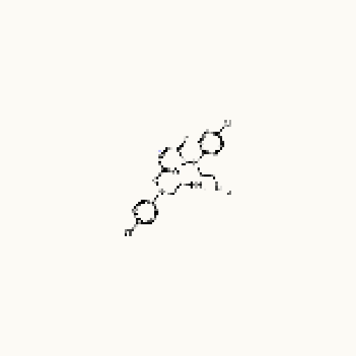 NCCN(OC(=O)/C=C\C(=O)ON(CCN)c1ccc(Cl)cc1)c1ccc(Cl)cc1